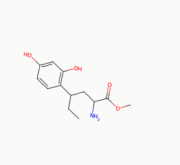 CCC(CC(N)C(=O)OC)c1ccc(O)cc1O